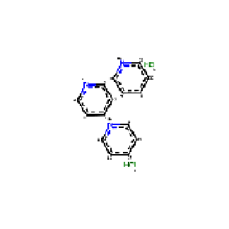 Cl.Cl.c1ccncc1.c1ccncc1.c1ccncc1